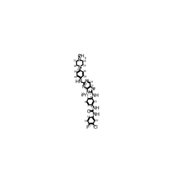 CC(C)n1c(Nc2cccc(NC(=O)Nc3ccc(F)c(Cl)c3)c2)nc2cnc(Nc3ccc(N4CCN(C)CC4)cc3)nc21